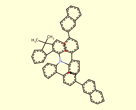 CC1(C)c2ccccc2-c2c(N(c3ccccc3-c3ccc(-c4ccc5ccccc5c4)cc3)c3ccccc3-c3ccc(-c4ccc5ccccc5c4)cc3)cccc21